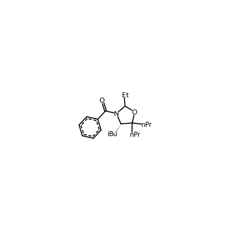 CCCC1(CCC)OC(CC)N(C(=O)c2ccccc2)[C@H]1C(C)CC